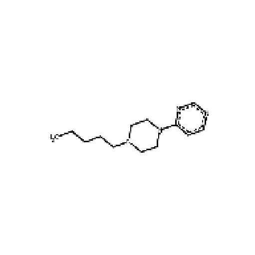 [CH2]CCCCN1CCN(c2ccncn2)CC1